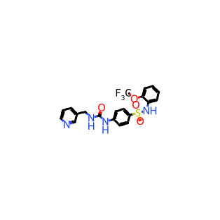 O=C(NCc1cccnc1)Nc1ccc(S(=O)(=O)Nc2ccccc2OC(F)(F)F)cc1